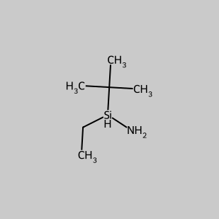 CC[SiH](N)C(C)(C)C